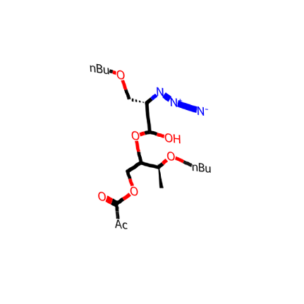 CCCCOC[C@H](N=[N+]=[N-])C(O)OC(COC(=O)C(C)=O)[C@H](C)OCCCC